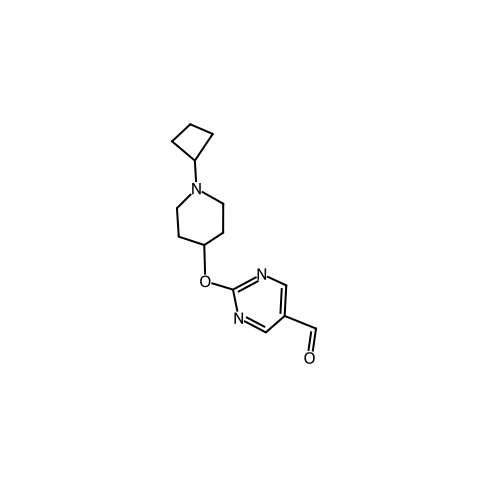 O=Cc1cnc(OC2CCN(C3CCC3)CC2)nc1